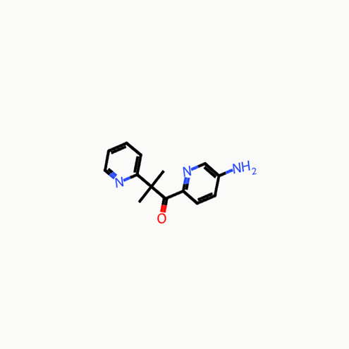 CC(C)(C(=O)c1ccc(N)cn1)c1ccccn1